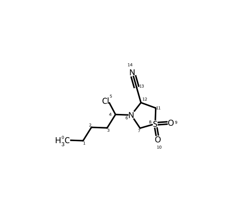 CCCCC(Cl)N1CS(=O)(=O)CC1C#N